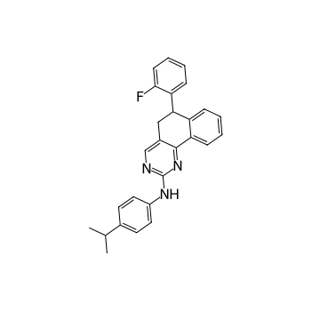 CC(C)c1ccc(Nc2ncc3c(n2)-c2ccccc2C(c2ccccc2F)C3)cc1